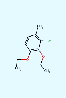 CCOc1ccc(C)c(F)c1OCC